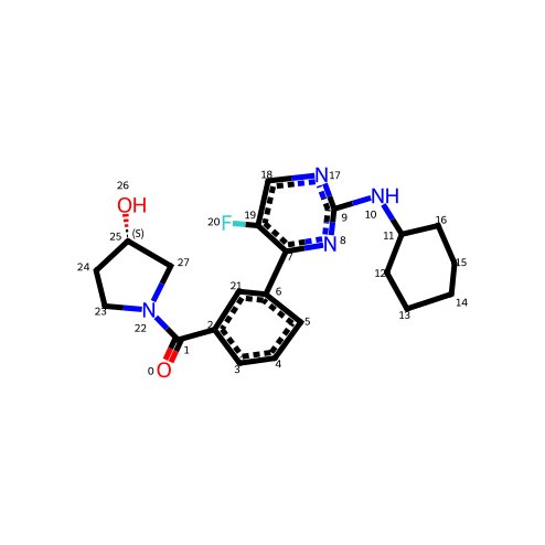 O=C(c1cccc(-c2nc(NC3CCCCC3)ncc2F)c1)N1CC[C@H](O)C1